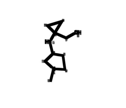 CN1CCC(NC2(CO)CC2)C1